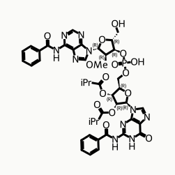 CO[C@@H]1[C@H](OP(=O)(O)OC[C@H]2O[C@@H](n3cnc4c(=O)[nH]c(NC(=O)c5ccccc5)nc43)[C@H](OC(=O)C(C)C)[C@@H]2OC(=O)C(C)C)[C@@H](CO)O[C@H]1n1cnc2c(NC(=O)c3ccccc3)ncnc21